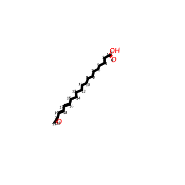 O=C(O)CCCCCCCCCCCCCC=CC=CC1=CO1